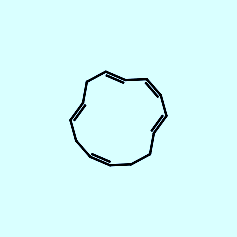 C1=C\C=C\CC/C=C\C/C=C/C/C=C/1